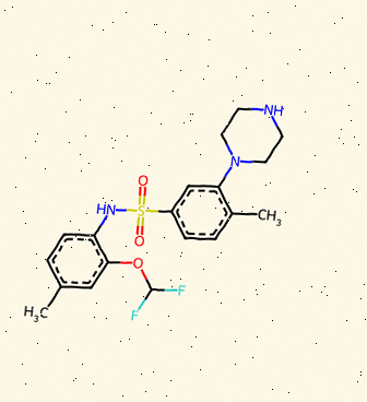 Cc1ccc(NS(=O)(=O)c2ccc(C)c(N3CCNCC3)c2)c(OC(F)F)c1